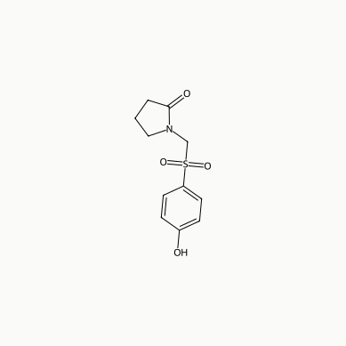 O=C1CCCN1CS(=O)(=O)c1ccc(O)cc1